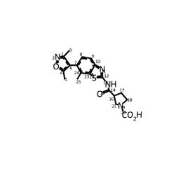 Cc1noc(C)c1-c1ccc2nc(NC(=O)C3CCN(C(=O)O)C3)sc2c1C